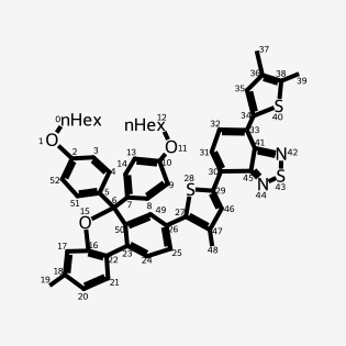 CCCCCCOc1ccc(C2(c3ccc(OCCCCCC)cc3)Oc3cc(C)ccc3-c3ccc(-c4sc(-c5ccc(-c6cc(C)c(C)s6)c6nsnc56)cc4C)cc32)cc1